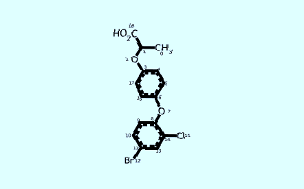 CC(Oc1ccc(Oc2ccc(Br)cc2Cl)cc1)C(=O)O